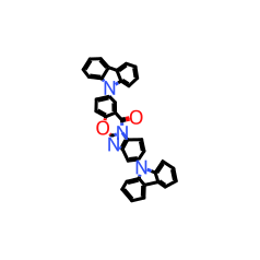 O=c1c2cc(-n3c4ccccc4c4ccccc43)ccc2oc2nc3cc(-n4c5ccccc5c5ccccc54)ccc3n12